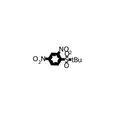 CC(C)(C)S(=O)(=O)c1ccc([N+](=O)[O-])cc1[N+](=O)[O-]